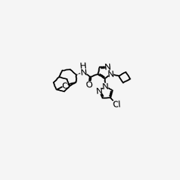 O=C(N[C@H]1CCC2CC3CC(C2)C1C3)c1cnn(C2CCC2)c1-n1cc(Cl)cn1